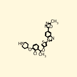 Cc1nnc(-c2ccc3c(c2)ncn3-c2cc(OC(C)c3cccc(OC4CCNCC4)c3Cl)cs2)o1